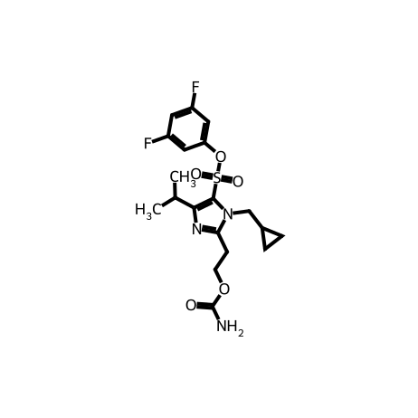 CC(C)c1nc(CCOC(N)=O)n(CC2CC2)c1S(=O)(=O)Oc1cc(F)cc(F)c1